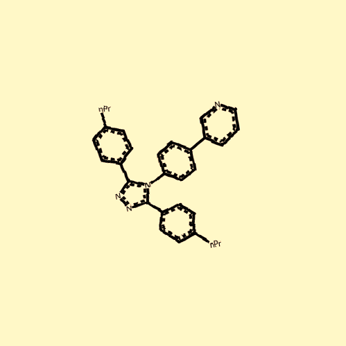 CCCc1ccc(-c2nnc(-c3ccc(CCC)cc3)n2-c2ccc(-c3cccnc3)cc2)cc1